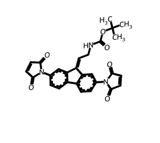 CC(C)(C)OC(=O)NCC=C1c2cc(N3C(=O)C=CC3=O)ccc2-c2ccc(N3C(=O)C=CC3=O)cc21